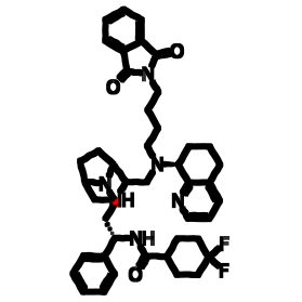 O=C(N[C@@H](CCN1C2CCC1C(CN(CCCCN1C(=O)c3ccccc3C1=O)[C@H]1CCCc3cccnc31)NC2)c1ccccc1)C1CCC(F)(F)CC1